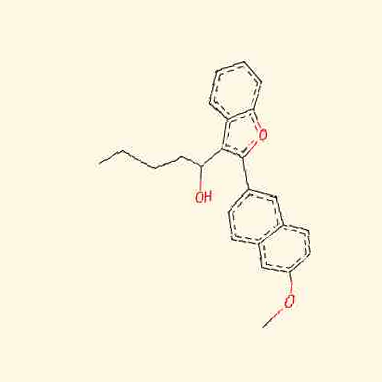 CCCCC(O)c1c(-c2ccc3cc(OC)ccc3c2)oc2ccccc12